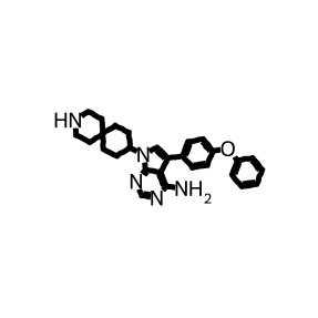 Nc1ncnc2c1c(-c1ccc(Oc3ccccc3)cc1)cn2C1CCC2(CCNCC2)CC1